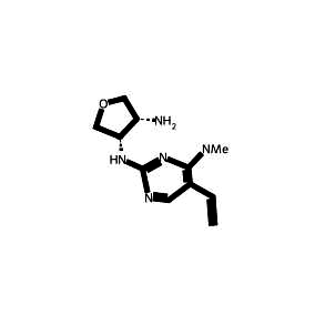 C=Cc1cnc(N[C@@H]2COC[C@@H]2N)nc1NC